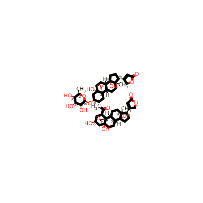 CC(=O)C1C[C@H](O)C[C@@]2(O)CC[C@@H]3[C@H](CC[C@]4(C)[C@@H](C5=CC(=O)OC5)CC[C@]34O)[C@@]12C=O.C[C@@H]1O[C@@H](O[C@H]2CC[C@]3(C=O)[C@H]4CC[C@]5(C)[C@@H](C6=CC(=O)OC6)CC[C@]5(O)[C@@H]4CC[C@]3(O)C2)[C@H](O)[C@H](O)[C@H]1O